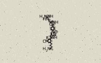 C[C@H](N)CCCc1cc(Cl)c(F)c(-c2cc3cn(-c4ccc([C@@H]5CNC[C@H](CCNC(=N)N)O5)cc4)c(=O)nc3[nH]2)c1